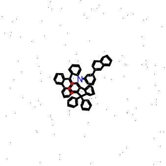 c1ccc(C2(c3ccccc3)c3ccccc3-c3c(N(c4cccc(-c5ccc6ccccc6c5)c4)c4ccccc4-c4cc5ccccc5c5ccccc45)cccc32)cc1